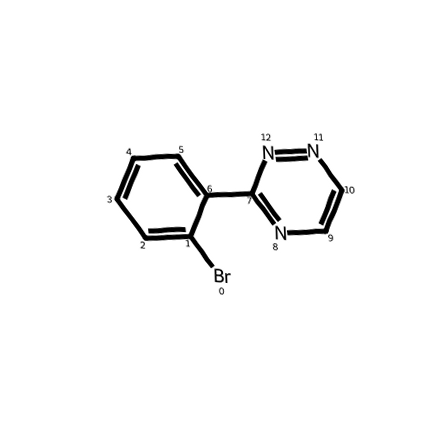 Brc1ccccc1-c1nccnn1